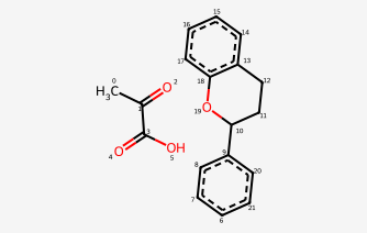 CC(=O)C(=O)O.c1ccc(C2CCc3ccccc3O2)cc1